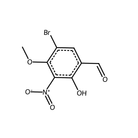 COc1c(Br)cc(C=O)c(O)c1[N+](=O)[O-]